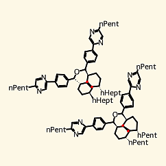 CCCCCCC[C@H]1CC[C@H](C(OC(c2ccc(-c3cnc(CCCCC)cn3)cc2)[C@H]2CC[C@H](CCCCCCC)CC2)c2ccc(-c3cnc(CCCCC)cn3)cc2)CC1.CCCCCc1cnc(-c2ccc(C(OC(c3ccc(-c4cnc(CCCCC)cn4)cc3)[C@H]3CC[C@H](CCCCC)CC3)[C@H]3CC[C@H](CCCCC)CC3)cc2)cn1